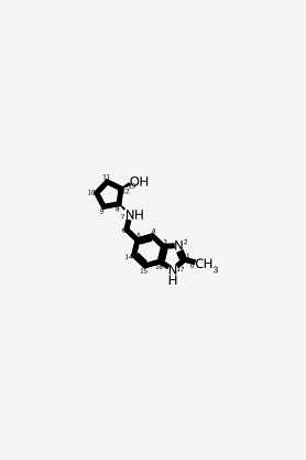 Cc1nc2cc(CN[C@@H]3CCC[C@H]3O)ccc2[nH]1